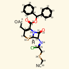 CC(=O)OCC1=C(C(=O)OC(c2ccccc2)c2ccccc2)N2C(=O)[C@@H](N=C(Cl)CSCC#N)[C@H]2SC1